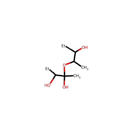 CCC(O)C(C)OC(C)(O)C(O)CC